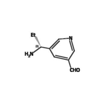 CC[C@@H](N)c1cncc(C=O)c1